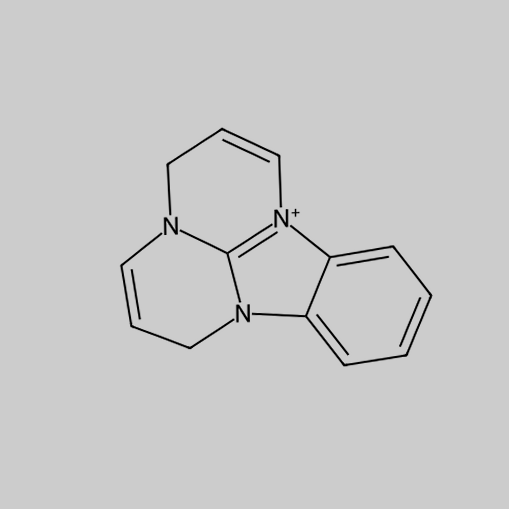 C1=C[n+]2c3n(c4ccccc42)CC=CN3C1